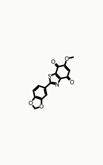 COC1=CC(=O)c2nc(-c3ccc4c(c3)OCO4)sc2C1=O